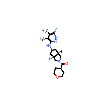 Cc1c(Cl)nnc(N[C@H]2C[C@@H]3CN(C(=O)C4CCOCC4)C[C@@H]3C2)c1C